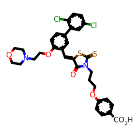 O=C(O)c1ccc(OCCCN2C(=O)C(=Cc3cc(-c4cc(Cl)ccc4Cl)ccc3OCCN3CCOCC3)SC2=S)cc1